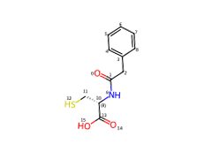 O=C(Cc1ccccc1)N[C@@H](CS)C(=O)O